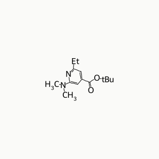 CCc1cc(C(=O)OC(C)(C)C)cc(N(C)C)n1